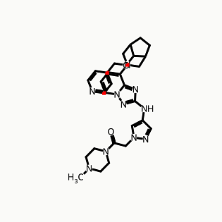 CN1CCN(C(=O)Cn2cc(Nc3nc4c(N5CC6CCC(C5)C6OCc5ccncc5)cccn4n3)cn2)CC1